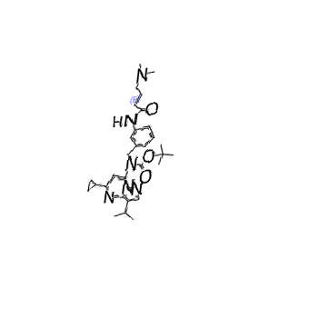 CC(C)c1cnn2c(N(Cc3cccc(NC(=O)/C=C/CN(C)C)c3)C(=O)OC(C)(C)C)cc(C3CC3)nc12